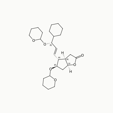 O=C1C[C@@H]2[C@@H](C=C[C@H](OC3CCCCO3)C3CCCCC3)[C@H](OC3CCCCO3)C[C@@H]2O1